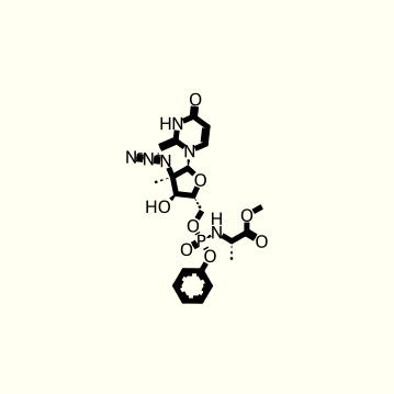 C=C1NC(=O)C=CN1[C@@H]1O[C@H](CO[P@@](=O)(N[C@@H](C)C(=O)OC)Oc2ccccc2)[C@@H](O)[C@@]1(C)N=[N+]=[N-]